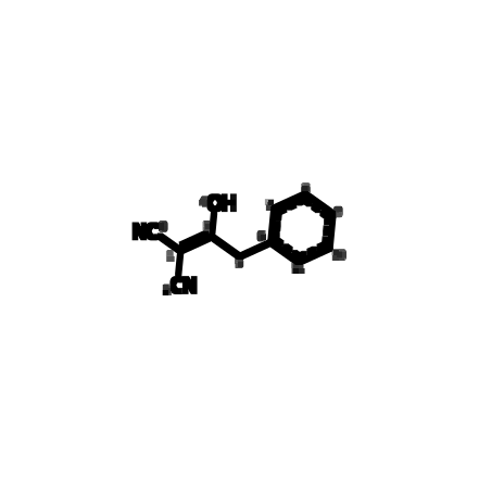 N#CC(C#N)=C(O)Cc1ccccc1